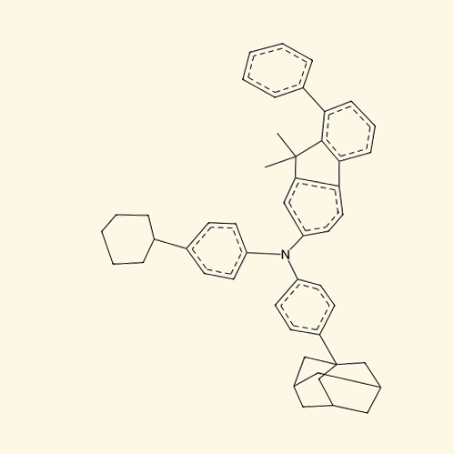 CC1(C)c2cc(N(c3ccc(C4CCCCC4)cc3)c3ccc(C45CC6CC(CC(C6)C4)C5)cc3)ccc2-c2cccc(-c3ccccc3)c21